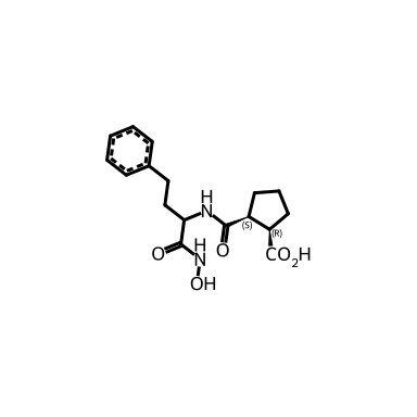 O=C(NO)C(CCc1ccccc1)NC(=O)[C@H]1CCC[C@H]1C(=O)O